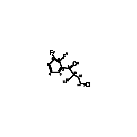 O=C(c1cccc(F)c1F)C(F)CCCl